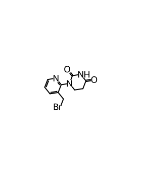 O=C1CCN(c2ncccc2CBr)C(=O)N1